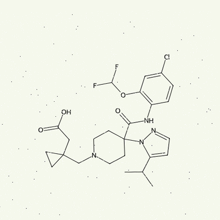 CC(C)c1ccnn1C1(C(=O)Nc2ccc(Cl)cc2OC(F)F)CCN(CC2(CC(=O)O)CC2)CC1